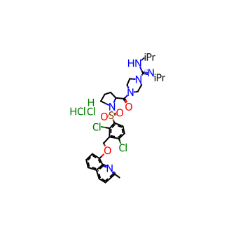 Cc1ccc2cccc(OCc3c(Cl)ccc(S(=O)(=O)N4CCCC4C(=O)N4CCN(/C(=N\C(C)C)NC(C)C)CC4)c3Cl)c2n1.Cl.Cl